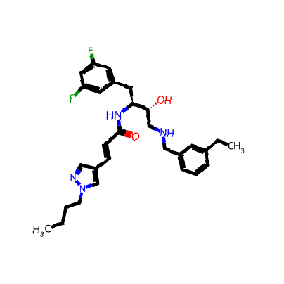 CCCCn1cc(C=CC(=O)N[C@@H](Cc2cc(F)cc(F)c2)[C@H](O)CNCc2cccc(CC)c2)cn1